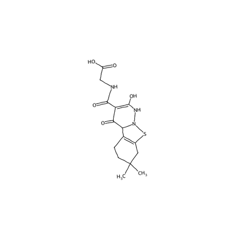 CC1(C)CCC2=C(C1)SN1NC(O)=C(C(=O)NCC(=O)O)C(=O)C21